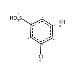 O=S(=O)(O)c1cccc(Cl)c1.[KH]